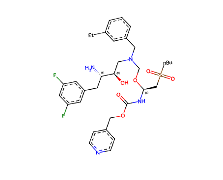 CCCCS(=O)(=O)C[C@@H](NC(=O)OCc1ccncc1)OCN(Cc1cccc(CC)c1)C[C@@H](O)[C@@H](N)Cc1cc(F)cc(F)c1